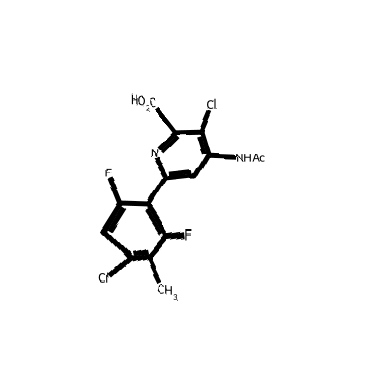 CC(=O)Nc1cc(-c2c(F)cc(Cl)c(C)c2F)nc(C(=O)O)c1Cl